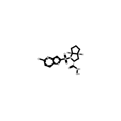 O=C(NO)[C@H]1C[C@H]2CCC[C@H]2N1S(=O)(=O)c1cc2nc(Cl)ccc2s1